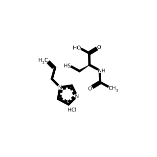 C=CCn1ccnc1.CC(=O)N[C@@H](CS)C(=O)O.Cl